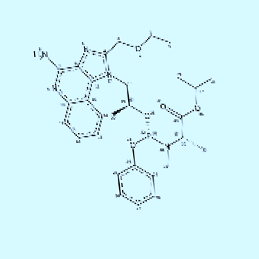 CCOCc1nc2c(N)nc3ccccc3c2n1C[C@H](C)O[P@@](Oc1ccccc1)N(C)[C@@H](C)C(=O)OC(C)C